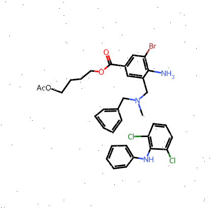 CC(=O)OCCCCOC(=O)c1cc(Br)c(N)c(CN(C)Cc2ccccc2)c1.Clc1cccc(Cl)c1Nc1ccccc1